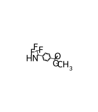 COC(=O)c1ccc(C(=N)C(F)(F)F)cc1